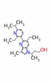 CCc1cc2c(nc1-c1ccc(C(C)C)nc1CC)c(C)cn2[C@H](C)CCO